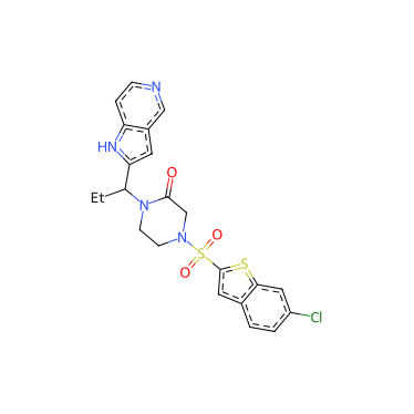 CCC(c1cc2cnccc2[nH]1)N1CCN(S(=O)(=O)c2cc3ccc(Cl)cc3s2)CC1=O